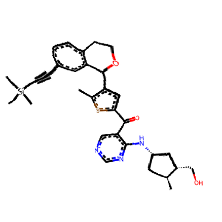 Cc1sc(C(=O)c2cncnc2N[C@@H]2C[C@H](CO)[C@@H](C)C2)cc1C1OCCc2ccc(C#C[Si](C)(C)C)cc21